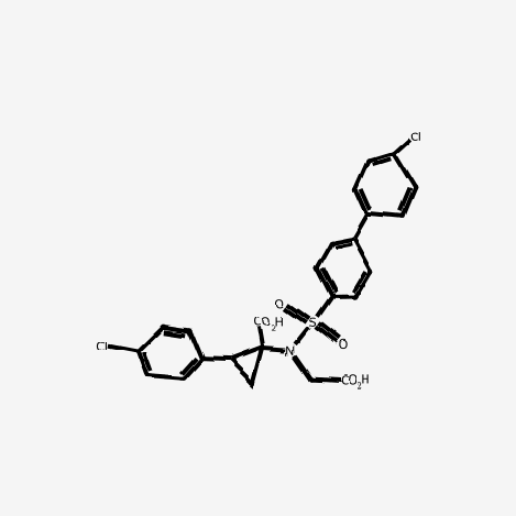 O=C(O)CN(C1(C(=O)O)CC1c1ccc(Cl)cc1)S(=O)(=O)c1ccc(-c2ccc(Cl)cc2)cc1